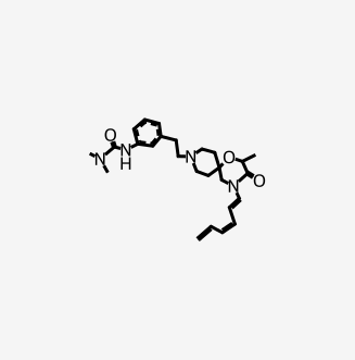 C=C/C=C\C=C\N1CC2(CCN(CCc3cccc(NC(=O)N(C)C)c3)CC2)OC(C)C1=O